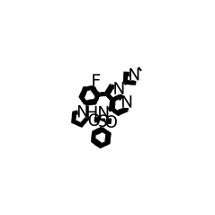 CN1CC(n2cc(-c3cc(N4CCCC4)ccc3F)c3c(NS(=O)(=O)c4ccccc4)ccnc32)C1